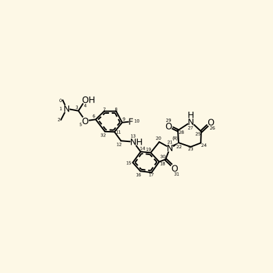 CN(C)C(O)Oc1ccc(F)c(CNc2cccc3c2CN([C@@H]2CCC(=O)NC2=O)C3=O)c1